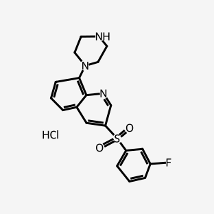 Cl.O=S(=O)(c1cccc(F)c1)c1cnc2c(N3CCNCC3)cccc2c1